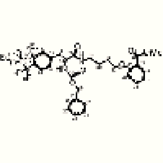 CCOP(=O)(OCC)C(F)(F)c1ccc(C[C@H](NC(=O)OCc2ccccc2)C(=O)NCCCCOc2ccccc2C(=O)OC)cc1